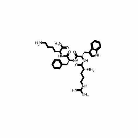 N=C(N)NCCC[C@@H](N)C(=O)N[C@@H](Cc1c[nH]c2ccccc12)C(=O)N[C@@H](Cc1ccccc1)C(=O)N[C@@H](CCCCN)C(N)=O